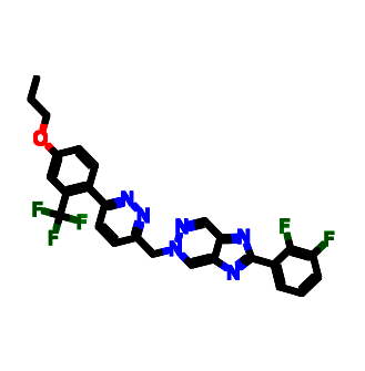 CCCOc1ccc(-c2ccc(Cn3cc4nc(-c5cccc(F)c5F)nc-4cn3)nn2)c(C(F)(F)F)c1